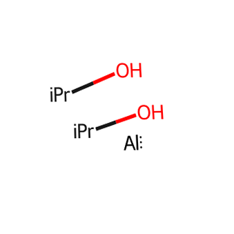 CC(C)O.CC(C)O.[Al]